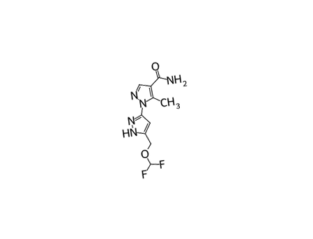 Cc1c(C(N)=O)cnn1-c1cc(COC(F)F)[nH]n1